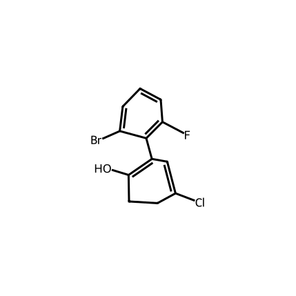 OC1=C(c2c(F)cccc2Br)C=C(Cl)CC1